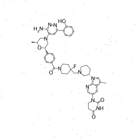 Cc1cn([C@H]2CCCN(CC3(F)CCN(C(=O)c4ccc([C@@H]5CN(c6cc(-c7ccccc7O)nnc6N)C[C@H](C)O5)cc4)CC3)C2)c2ncc(N3CCC(=O)NC3=O)cc12